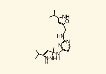 CC(C)C1=CC(C)(Nc2ccnc(NCC3=CC(C(C)C)NO3)n2)NN1